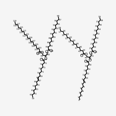 CCCCCCCCC=CCCCCCCCC(=O)OC(COC(=O)CCCCCCCCCCCCCCC)COC(=O)CCCCCCCCCCCCCCC.CCCCCCCCC=CCCCCCCCC(=O)OC(COC(=O)CCCCCCCCCCCCCCC)COC(=O)CCCCCCCCCCCCCCCCC